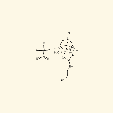 CC(C)CCNB1O[C@@H]2C[C@@H]3C[C@@H](C3(C)C)[C@]2(C)O1.O=C(O)C(F)(F)F